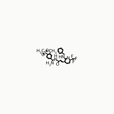 Cc1cc(C(N)NC(=O)C=Cc2ccc(C(F)(F)F)nc2NCc2ccccc2)ccc1S(C)(=O)=O